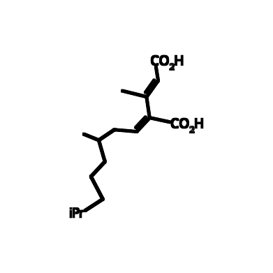 CC(=C\C(=O)O)/C(=C\CC(C)CCCC(C)C)C(=O)O